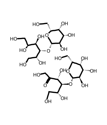 O=C(CO)[C@H](O)[C@@H](O[C@@H]1O[C@H](CO)[C@H](O)[C@H](O)[C@H]1O)[C@H](O)CO.OC[C@@H](O)[C@@H](O[C@@H]1O[C@H](CO)[C@H](O)[C@H](O)[C@H]1O)[C@H](O)[C@@H](O)CO